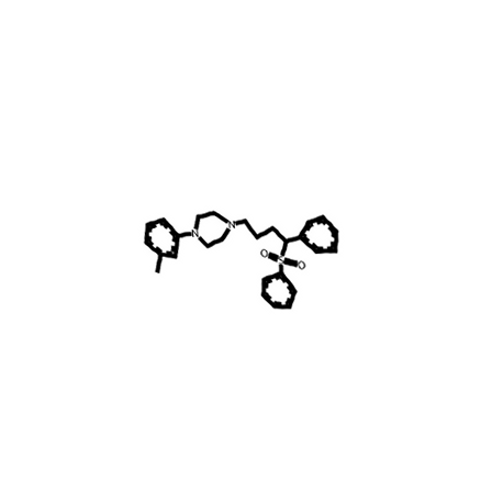 Cc1cccc(N2CCN(CCCC(c3ccccc3)S(=O)(=O)c3ccccc3)CC2)c1